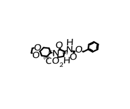 O=C(N[C@H]1CCN([C@H]2CCC3(C[C@H]2C(=O)O)OCCO3)C1=O)OCc1ccccc1